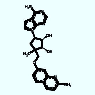 CC1(COc2ccc3ccc(N)nc3c2)C[C@@H](n2ccc3c(N)ncnc32)[C@H](O)[C@@H]1O